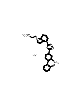 O=C([O-])CCn1ccc2c(-c3noc(-c4ccc(-c5ccccc5F)c(C(F)(F)F)c4)n3)cccc21.[Na+]